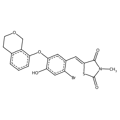 CN1C(=O)S/C(=C\c2cc(Oc3cccc4c3COCC4)c(O)cc2Br)C1=O